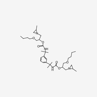 CCCCOCC(CN1CC1C)OC(=O)NC(C)(C)c1cccc(C(C)(C)NC(=O)OC(COCCCC)CN2CC2C)c1